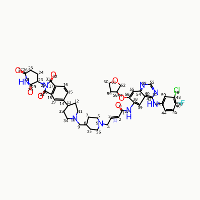 O=C(/C=C/CN1CCC(CN2CCC(c3ccc4c(c3)C(=O)N(C3CCC(=O)NC3=O)C4=O)CC2)CC1)Nc1cc2c(Nc3ccc(F)c(Cl)c3)ncnc2cc1OC1CCOC1